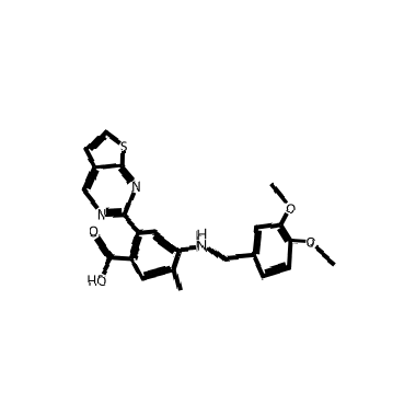 COc1ccc(CNc2cc(-c3ncc4ccsc4n3)c(C(=O)O)cc2C)cc1OC